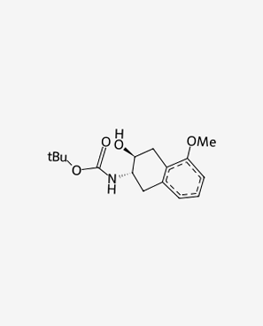 COc1cccc2c1C[C@H](O)[C@@H](NC(=O)OC(C)(C)C)C2